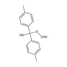 Cc1ccc(C(O)(O[C]=O)c2ccc(C)cc2)cc1